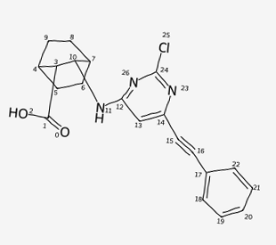 O=C(O)C1C2CCC(CC2)C1Nc1cc(C#Cc2ccccc2)nc(Cl)n1